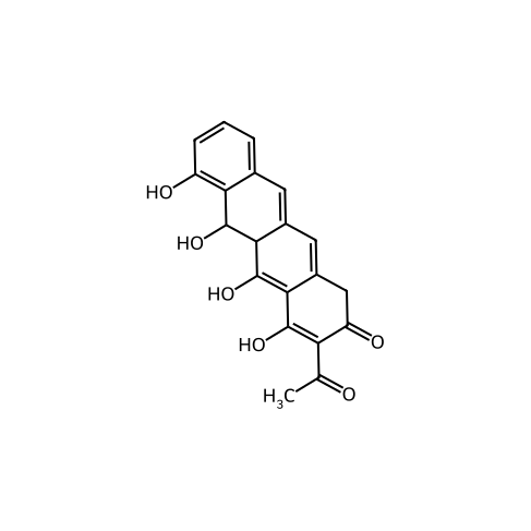 CC(=O)C1=C(O)C2=C(O)C3C(=Cc4cccc(O)c4C3O)C=C2CC1=O